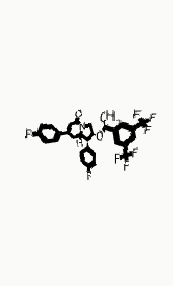 C[C@@H](O[C@H]1CN2C(=O)C=C(c3ccc(F)cc3)C[C@H]2[C@@H]1c1ccc(F)cc1)c1cc(C(F)(F)F)cc(C(F)(F)F)c1